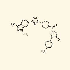 Cc1ccc(N2C[C@H](C(=O)N3CCC(c4nc(-c5ccc6c(C)nn(C)c6c5)no4)CC3)CC2=O)nc1